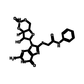 Nc1nc2c(nc(SCC(=O)Nc3ccccc3)n2[C@@H]2OC3CO[PH](=O)O[C@H]3C2O)c(=O)[nH]1